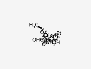 CC#CCOc1ccc(S(=O)(=O)CC2(O)CCN(CC)CC2)cc1.NC(=O)NC=O